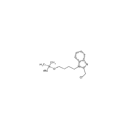 CC(C)(C)[Si](C)(C)OCCCCn1c(CCl)nc2ccccc21